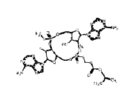 COP1(=O)OCC2OC(n3cnc4c(N)ncnc43)[C@@H](OP(=O)(SCOC(=O)OC(C)C)OCC3OC(n4cnc5c(N)ncnc54)[C@@H](F)C3O1)C2O